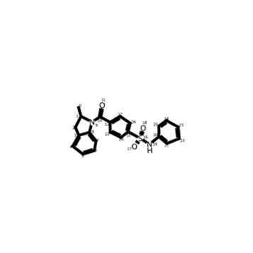 CC1Cc2ccccc2N1C(=O)c1ccc(S(=O)(=O)Nc2ccccc2)cc1